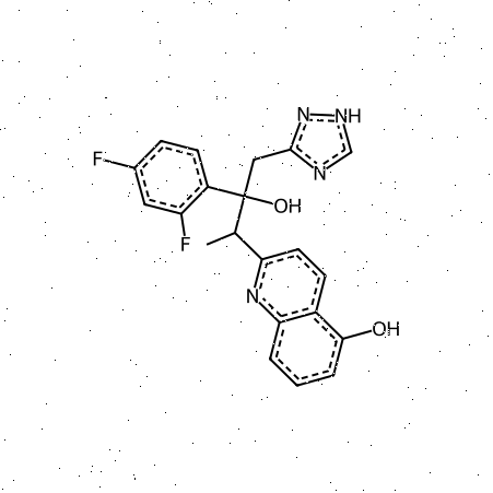 CC(c1ccc2c(O)cccc2n1)C(O)(Cc1nc[nH]n1)c1ccc(F)cc1F